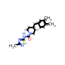 Cc1nsc(NC(=O)N2CCC(Cc3ccc(C)c(C)c3)CC2)n1